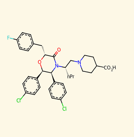 CCC[C@@H](CN1CCC(C(=O)O)CC1)N1C(=O)[C@@H](Cc2ccc(F)cc2)O[C@H](c2ccc(Cl)cc2)[C@@H]1c1ccc(Cl)cc1